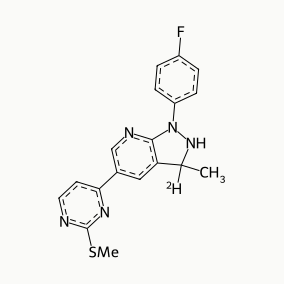 [2H]C1(C)NN(c2ccc(F)cc2)c2ncc(-c3ccnc(SC)n3)cc21